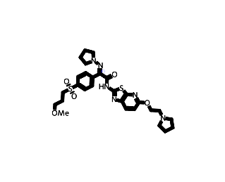 COCCCS(=O)(=O)c1ccc(/C(=N\N2CCCC2)C(=O)Nc2nc3ccc(OCCN4CCCC4)nc3s2)cc1